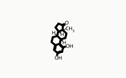 C[C@]12CC[C@@H]3c4c(O)cc(O)cc4CC[C@H]3[C@@H]1CCC2=O